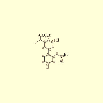 CCOC(=O)C(C)c1cc(Cl)cc(-c2ccc(C)cc2CN(CC)C(C)=O)c1